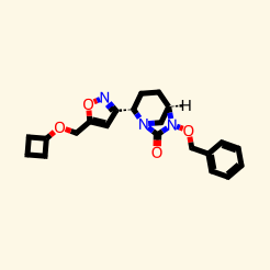 O=C1N2C[C@@H](CC[C@H]2c2cc(COC3CCC3)on2)N1OCc1ccccc1